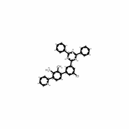 Cc1c(-c2cc(Cl)cc(-c3nc(-c4ccccc4)nc(-c4ccccc4)n3)c2)ccc(-c2ccccn2)c1C